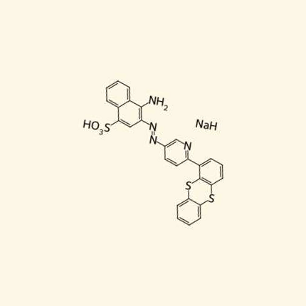 Nc1c(/N=N/c2ccc(-c3cccc4c3Sc3ccccc3S4)nc2)cc(S(=O)(=O)O)c2ccccc12.[NaH]